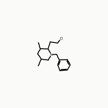 CC1CC(C)C(CCCl)N(Cc2ccccc2)C1